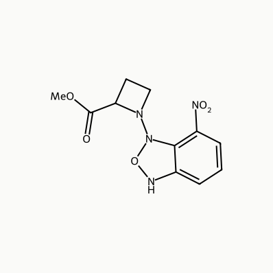 COC(=O)C1CCN1N1ONc2cccc([N+](=O)[O-])c21